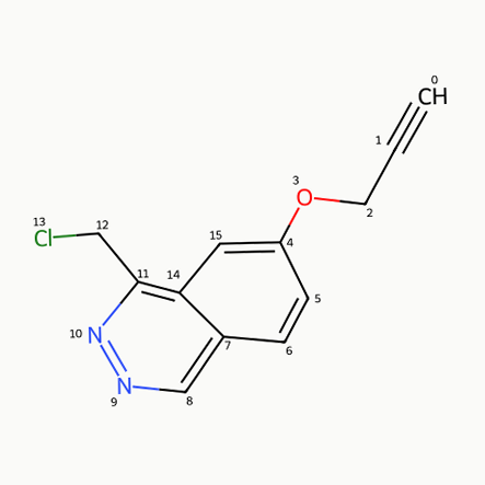 C#CCOc1ccc2cnnc(CCl)c2c1